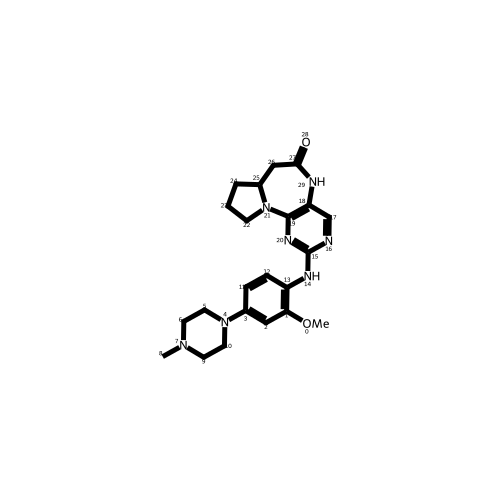 COc1cc(N2CCN(C)CC2)ccc1Nc1ncc2c(n1)N1CCCC1CC(=O)N2